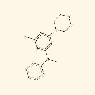 CN(c1ccccn1)c1cc(N2CCOCC2)nc(Cl)n1